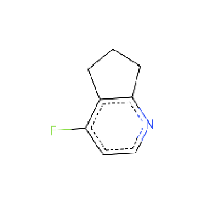 Fc1ccnc2c1CCC2